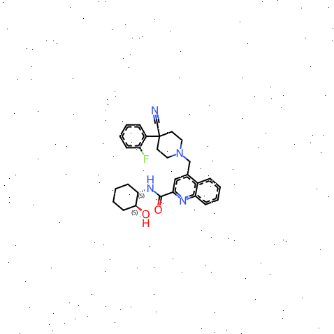 N#CC1(c2ccccc2F)CCN(Cc2cc(C(=O)N[C@H]3CCCC[C@@H]3O)nc3ccccc23)CC1